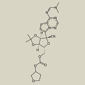 CN(C)/C=N\c1ncnn2c([C@]3(C#N)O[C@H](COC(=O)OC4CCOC4)[C@H]4OC(C)(C)O[C@H]43)ccc12